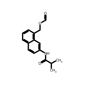 CC(C)C(=O)Nc1ccc2cccc(COC=O)c2c1